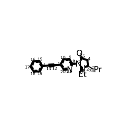 CCN1[C@H](C(C)C)CC(=O)N1c1ccc(C#Cc2ccccc2)cn1